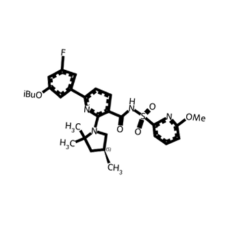 COc1cccc(S(=O)(=O)NC(=O)c2ccc(-c3cc(F)cc(OCC(C)C)c3)nc2N2C[C@@H](C)CC2(C)C)n1